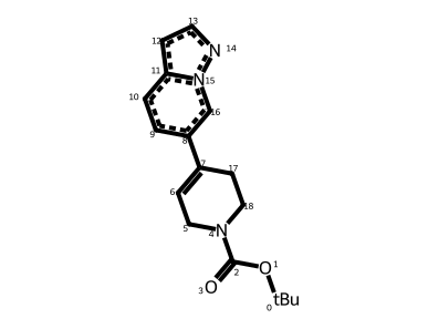 CC(C)(C)OC(=O)N1CC=C(c2ccc3ccnn3c2)CC1